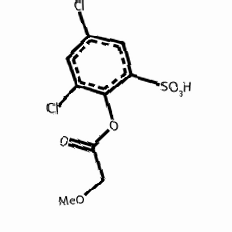 COCC(=O)Oc1c(Cl)cc(Cl)cc1S(=O)(=O)O